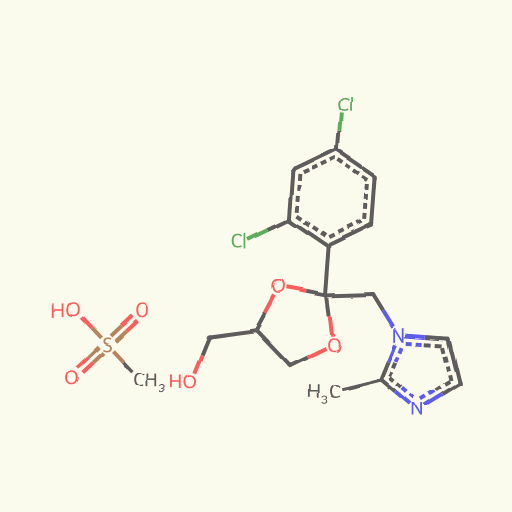 CS(=O)(=O)O.Cc1nccn1CC1(c2ccc(Cl)cc2Cl)OCC(CO)O1